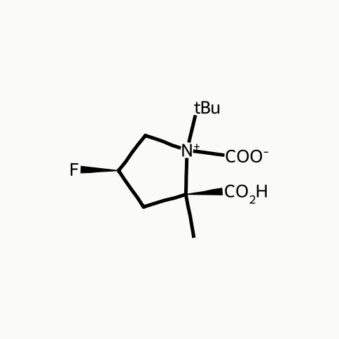 CC(C)(C)[N+]1(C(=O)[O-])C[C@H](F)C[C@]1(C)C(=O)O